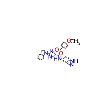 COc1ccc(COc2nc(N3CCc4ccccc43)ncc2C(=O)Nc2ccc3[nH]ncc3c2)cc1